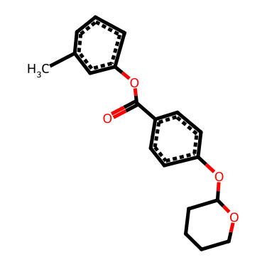 Cc1cccc(OC(=O)c2ccc(OC3CCCCO3)cc2)c1